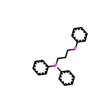 c1ccc([P]CCCP(c2ccccc2)c2ccccc2)cc1